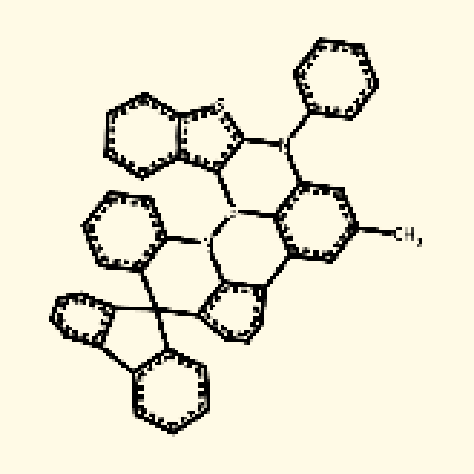 Cc1cc2c3c(c1)N(c1ccccc1)c1sc4ccccc4c1B3N1c3ccccc3C3(c4ccccc4-c4ccccc43)c3cccc-2c31